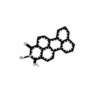 C=c1c2ccc3c4cccc5cccc(c6ccc(c(=O)n1C(C)(C)C)c2c36)c54